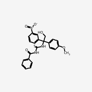 COc1ccc(C(CO)(NC(=S)NC(=O)c2ccccc2)c2cccc([N+](=O)[O-])c2)cc1